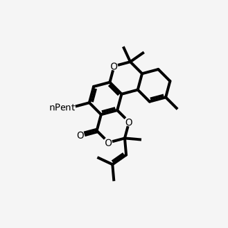 CCCCCc1cc2c(c3c1C(=O)OC(C)(C=C(C)C)O3)C1C=C(C)CCC1C(C)(C)O2